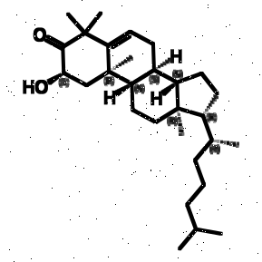 CC(C)CCC[C@@H](C)[C@H]1CC[C@H]2[C@@H]3CC=C4C(C)(C)C(=O)[C@H](O)C[C@]4(C)[C@H]3CC[C@]12C